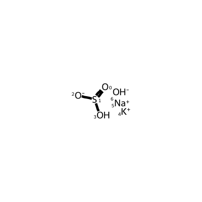 O=S([O-])O.[K+].[Na+].[OH-]